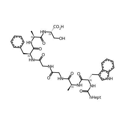 CCCCCCCC(=O)N[C@@H](Cc1c[nH]c2ccccc12)C(=O)N[C@@H](C)C(=O)NCC(=O)NCC(=O)N[C@@H](Cc1ccccc1)C(=O)N[C@@H](C)C(=O)N[C@@H](CO)C(=O)O